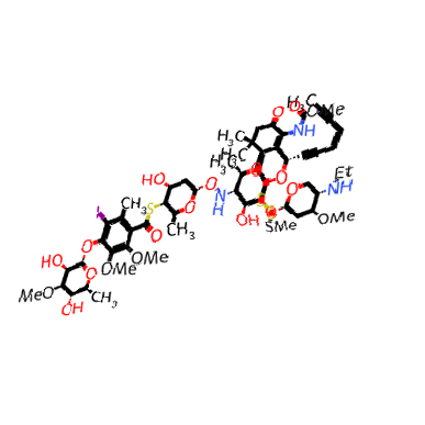 CC#C/C=C\C#C[C@H](O[C@@H]1O[C@H](C)[C@@H](NO[C@H]2C[C@H](O)[C@H](SC(=O)c3c(C)c(I)c(O[C@@H]4O[C@@H](C)[C@H](O)[C@@H](OC)[C@H]4O)c(OC)c3OC)C(C)O2)[C@H](O)[C@H]1O[C@H]1C[C@H](OC)[C@@H](NCC)CO1)C1=C(NC(=O)OC)C(=O)CC(C)(C)/C1=C/CSSSC